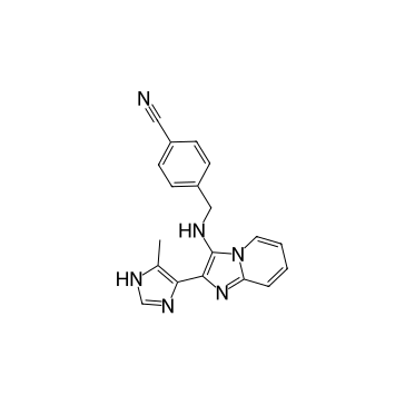 Cc1[nH]cnc1-c1nc2ccccn2c1NCc1ccc(C#N)cc1